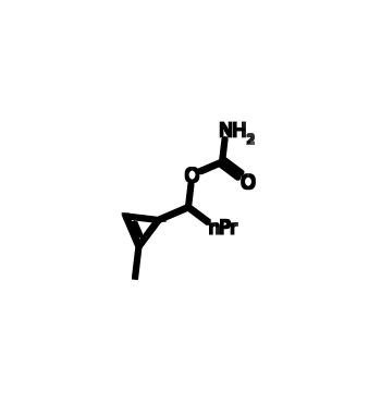 CCCC(OC(N)=O)[C]1C=C1C